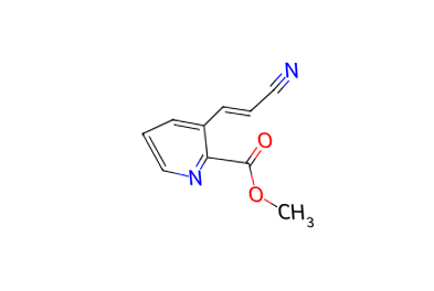 COC(=O)c1ncccc1C=CC#N